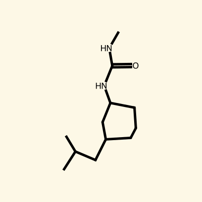 CNC(=O)NC1CCCC(CC(C)C)C1